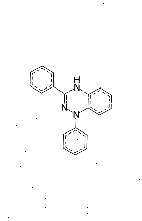 c1ccc(C2=NN(c3ccccc3)c3ccccc3N2)cc1